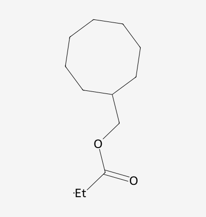 C[CH]C(=O)OCC1CCCCCCC1